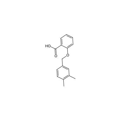 Cc1ccc(COc2ccccc2C(=O)O)cc1C